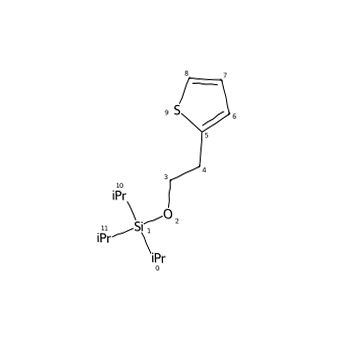 CC(C)[Si](OCCc1cccs1)(C(C)C)C(C)C